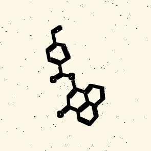 C=Cc1ccc(C(=O)OC2=CC(=O)c3cccc4cccc2c34)cc1